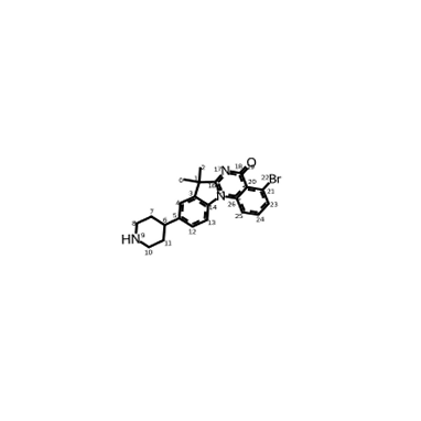 CC1(C)c2cc(C3CCNCC3)ccc2-n2c1nc(=O)c1c(Br)cccc12